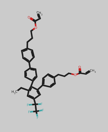 C=CC(=O)OCCCc1ccc(-c2ccc(-c3c(CC)cc(C(F)(F)C(F)(F)F)cc3-c3ccc(CCCOC(=O)C=C)cc3)cc2)cc1